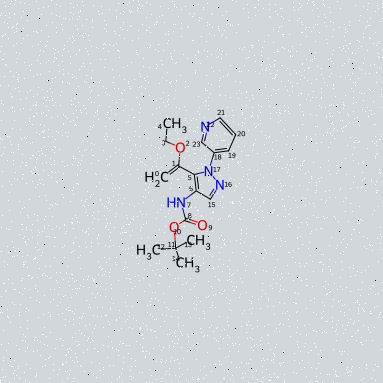 C=C(OCC)c1c(NC(=O)OC(C)(C)C)cnn1-c1cccnc1